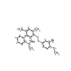 COc1ccc(CCc2c(C)nc(N)nc2N[C@@H](C)c2ccccc2)cc1Br